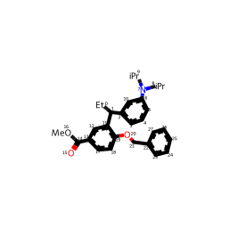 CCC(c1cccc(N(C(C)C)C(C)C)c1)c1cc(C(=O)OC)ccc1OCc1ccccc1